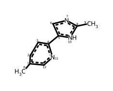 Cc1ccc(-c2cnc(C)[nH]2)nc1